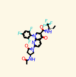 CC[C@H](NC(=O)c1cn(-c2c(F)cc(F)cc2F)c2nc(N3CC(NC(C)=O)CC3=O)ccc2c1=O)C(F)(F)F